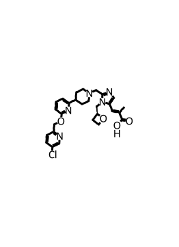 C/C(=C\c1cnc(CN2CCC(c3cccc(OCc4ccc(Cl)cn4)n3)CC2)n1C[C@@H]1CCO1)C(=O)O